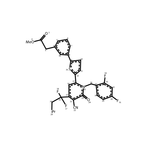 COC(=O)Cc1cccc(-c2ccc(-c3cc(C(F)(F)CC(C)C)c(C#N)c(=O)n3Cc3ccc(F)cc3F)s2)c1